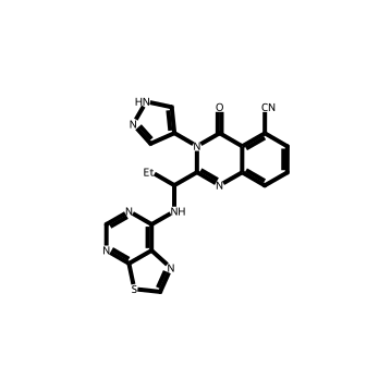 CCC(Nc1ncnc2scnc12)c1nc2cccc(C#N)c2c(=O)n1-c1cn[nH]c1